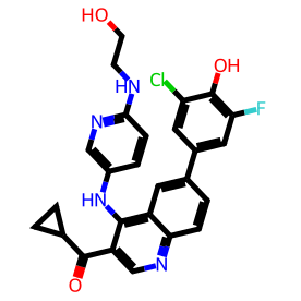 O=C(c1cnc2ccc(-c3cc(F)c(O)c(Cl)c3)cc2c1Nc1ccc(NCCO)nc1)C1CC1